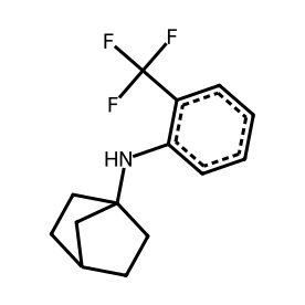 FC(F)(F)c1ccccc1NC12CCC(CC1)C2